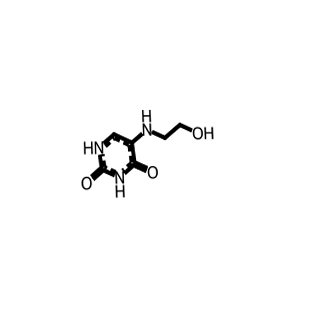 O=c1[nH]cc(NCCO)c(=O)[nH]1